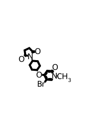 Cn1cc(Br)c(O[C@H]2CC[C@H](N3C(=O)CCC3=O)CC2)cc1=O